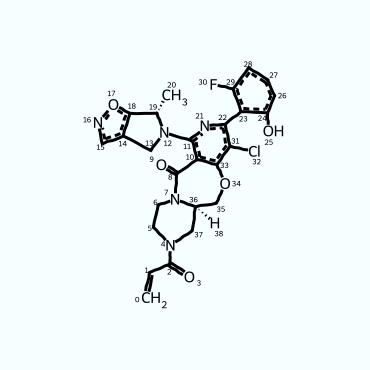 C=CC(=O)N1CCN2C(=O)c3c(N4Cc5cnoc5[C@@H]4C)nc(-c4c(O)cccc4F)c(Cl)c3OC[C@H]2C1